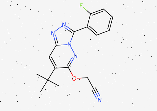 CC(C)(C)c1cc2nnc(-c3ccccc3F)n2nc1OCC#N